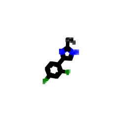 Cc1nc(-c2ccc(F)cc2F)c[nH]1